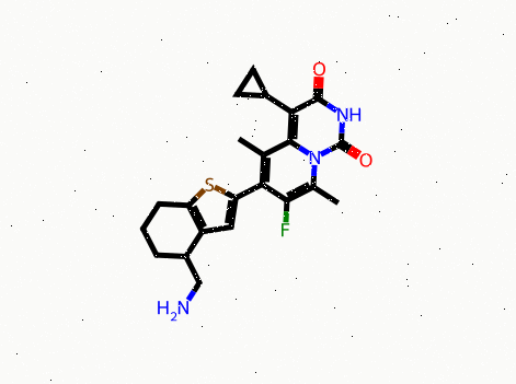 Cc1c(-c2cc3c(s2)CCCC3CN)c(F)c(C)n2c(=O)[nH]c(=O)c(C3CC3)c12